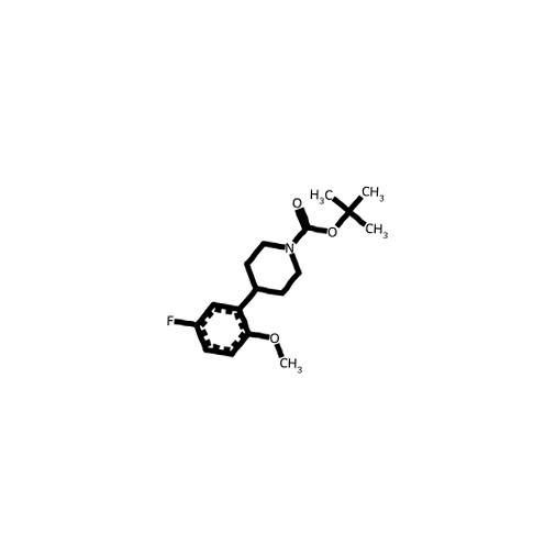 COc1ccc(F)cc1C1CCN(C(=O)OC(C)(C)C)CC1